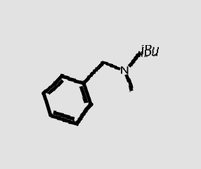 CCC(C)N(C)Cc1ccccc1